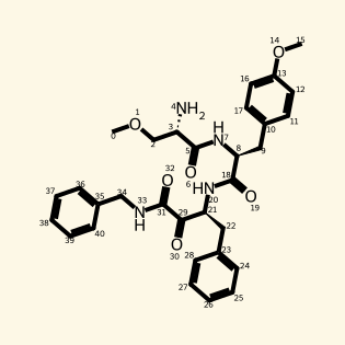 COC[C@H](N)C(=O)N[C@@H](Cc1ccc(OC)cc1)C(=O)N[C@@H](Cc1ccccc1)C(=O)C(=O)NCc1ccccc1